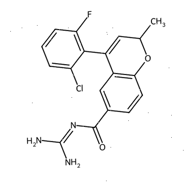 CC1C=C(c2c(F)cccc2Cl)c2cc(C(=O)N=C(N)N)ccc2O1